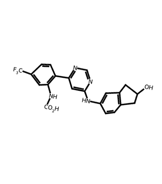 O=C(O)Nc1cc(C(F)(F)F)ccc1-c1cc(Nc2ccc3c(c2)CC(O)C3)ncn1